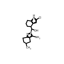 CC1CCc2nn(C(O)C3CCCc4[nH]c(Cl)cc43)c(N)c2C1